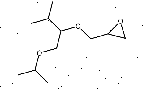 CC(C)OCC(OCC1CO1)C(C)C